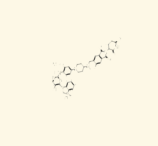 COc1cc(N2CCC(N(C)Cc3cc4c(cc3F)C(=O)N(C3CCC(=O)NC3=O)C4=O)CC2)ccc1Nc1ncc(Cl)c(Nc2ccccc2P(C)(C)=O)n1